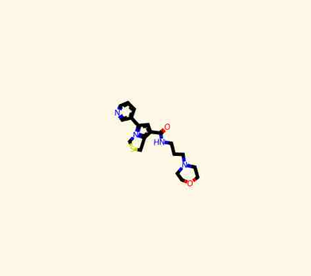 O=C(NCCCN1CCOCC1)c1cc(-c2cccnc2)n2c1CSC2